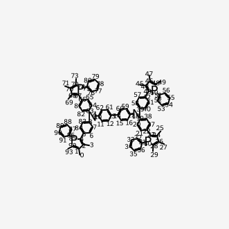 Cc1c(C)c(-c2ccc(N(c3ccc(-c4ccc(N(c5ccc(-c6c(C)c(C)c(C)p6-c6ccccc6)cc5)c5ccc(-c6c(C)c(C)c(C)p6-c6ccccc6)cc5)cc4)cc3)c3ccc(-c4c(C)c(C)c(C)p4-c4ccccc4)cc3)cc2)p(-c2ccccc2)c1C